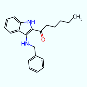 CCCCCC(=O)c1[nH]c2ccccc2c1NCc1ccccc1